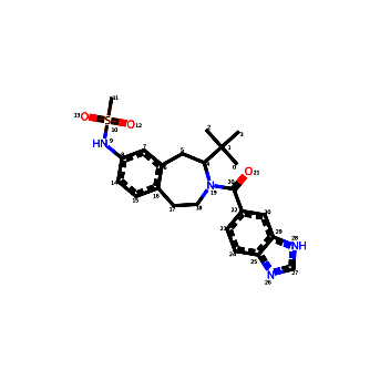 CC(C)(C)C1Cc2cc(NS(C)(=O)=O)ccc2CCN1C(=O)c1ccc2nc[nH]c2c1